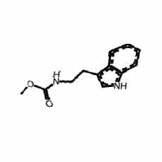 COC(=O)NCCc1c[nH]c2ccccc12